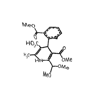 COC(=O)C1=C(C(OC)OC)NC(C)=C(C(=O)O)C1c1ccccc1C(=O)OC